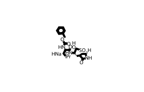 CC(C)CC(NC(=O)OCc1ccccc1)C(=O)N[C@@H](CC1CCNC1=O)C(O)S(=O)(=O)O.[NaH]